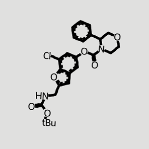 CC(C)(C)OC(=O)NCc1cc2cc(OC(=O)N3CCOCC3c3ccccc3)cc(Cl)c2o1